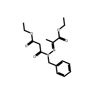 CCOC(=O)CC(=O)N(Cc1ccccc1)N=C(C)C(=O)OCC